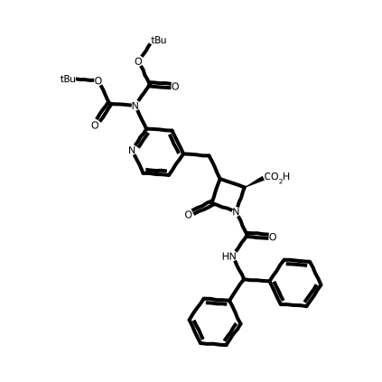 CC(C)(C)OC(=O)N(C(=O)OC(C)(C)C)c1cc(CC2C(=O)N(C(=O)NC(c3ccccc3)c3ccccc3)[C@@H]2C(=O)O)ccn1